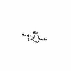 CC(C)(C)c1ccc(O[PH](=O)F)c(C(C)(C)C)c1